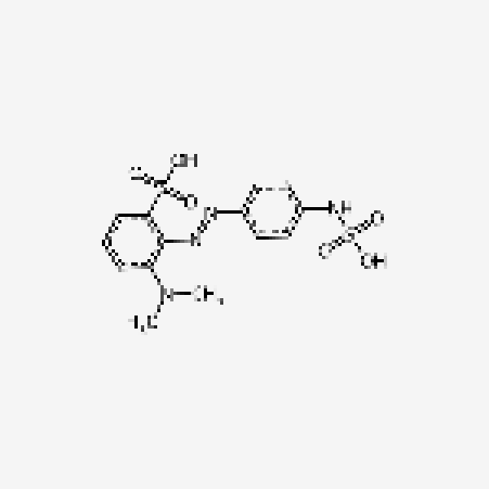 CN(C)c1cccc(S(=O)(=O)O)c1/N=N/c1ccc(NS(=O)(=O)O)cc1